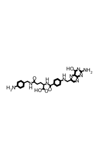 Nc1ccc(CNC(=O)CCC(NC(=O)c2ccc(NCc3cnc4nc(N)nc(O)c4n3)cc2)C(=O)O)cc1